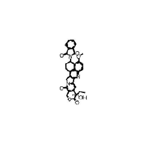 CC[C@@]1(O)C(=O)OCc2c1cc1n(c2=O)Cc2c-1nc1ccc(OC)c3c1c2CCC3N1C(=O)c2ccccc2C1=O